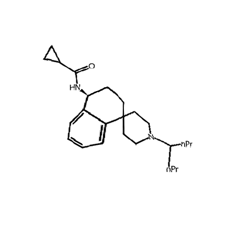 CCCC(CCC)N1CCC2(CC[C@H](NC(=O)C3CC3)c3ccccc32)CC1